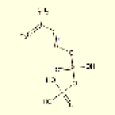 C=C(C)/C=C/OP(=O)(O)OP(=O)(O)O